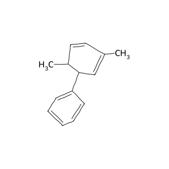 CC1=CC(c2ccccc2)C(C)C=C1